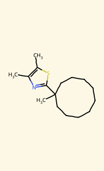 Cc1nc(C2(C)CCCCCCCCC2)sc1C